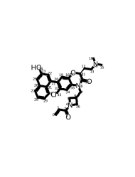 C=CC(=O)N1CC(CN2C(=O)[C@H](CCN(C)C)Oc3cc(-c4cc(O)cc5ccccc45)c(Cl)cc32)C1